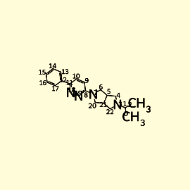 CC(C)N1CC2CN(c3ccc(-c4ccccc4)nn3)CC2C1